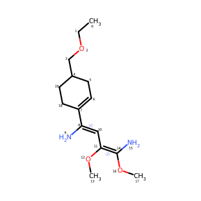 CCOCC1CC=C(/C(N)=C/C(OC)=C(\N)OC)CC1